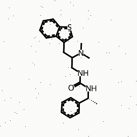 C[C@@H](NC(=O)NCC(Cc1csc2ccccc12)N(C)C)c1ccccc1